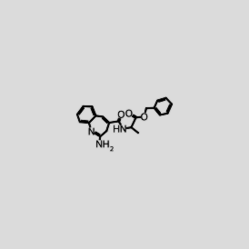 CC(NC(=O)C1=Cc2ccccc2N=C(N)C1)C(=O)OCc1ccccc1